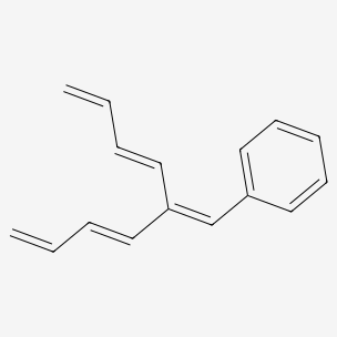 C=CC=CC(C=CC=C)=Cc1ccccc1